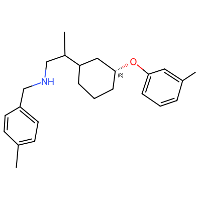 Cc1ccc(CNCC(C)C2CCC[C@@H](Oc3cccc(C)c3)C2)cc1